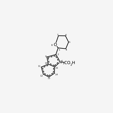 O=C(O)n1c(C2CCCCO2)cc2ccccc21